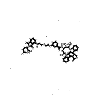 CO[C@H]1C(C)n2c3ccccc3c3c4c(c5c6ccccc6n(c5c32)[C@H](O)C[C@H]1N(C)C(=O)c1cccc(OCCOCCNc2cccc3c2C(=O)N(C2CCC(=O)NC2=O)C3=O)c1)C(=O)NC4